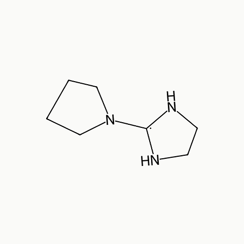 C1CCN([C]2NCCN2)C1